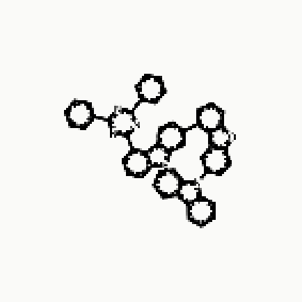 c1ccc(-c2nc(-c3ccccc3)nc(-c3cccc4sc5cc(-c6cccc7oc8ccc(-n9c%10ccccc%10c%10ccccc%109)cc8c67)ccc5c34)n2)cc1